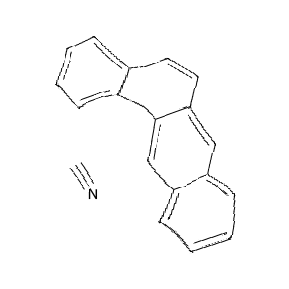 C#N.c1ccc2cc3c(ccc4ccccc43)cc2c1